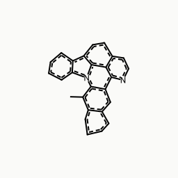 Cc1c2ccccc2cc2c3nccc4ccc5c6ccccc6n(c12)c5c43